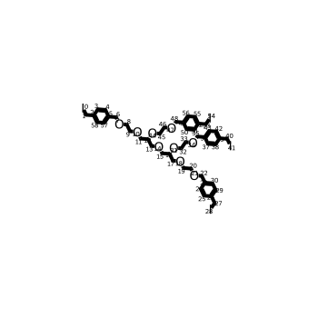 ICc1ccc(COCCOCC(COCC(COCCOCc2ccc(CI)cc2)OCCOCc2ccc(CI)cc2)OCCOCc2ccc(CI)cc2)cc1